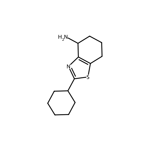 NC1CCCc2sc(C3CCCCC3)nc21